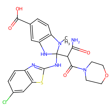 CN1c2ccc(C(=O)O)cc2NC1(Nc1nc2ccc(Cl)cc2s1)C(C(N)=O)C(=O)N1CCOCC1